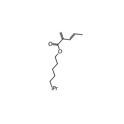 C=C(C=CC)C(=O)OCCCCCC(C)C